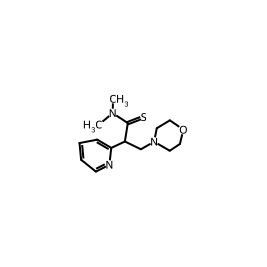 CN(C)C(=S)C(CN1CCOCC1)c1ccccn1